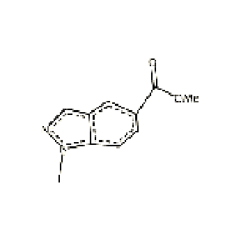 COC(=O)c1ccc2c(cnn2I)c1